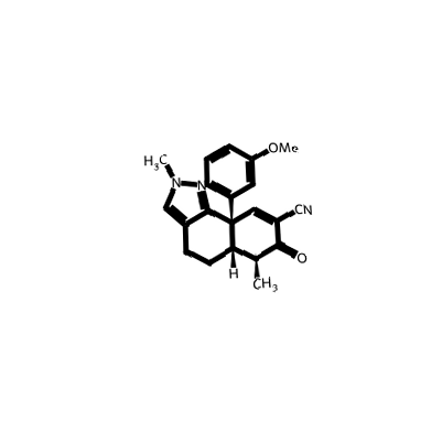 COc1cccc([C@@]23C=C(C#N)C(=O)[C@@H](C)[C@@H]2CCc2cn(C)nc23)c1